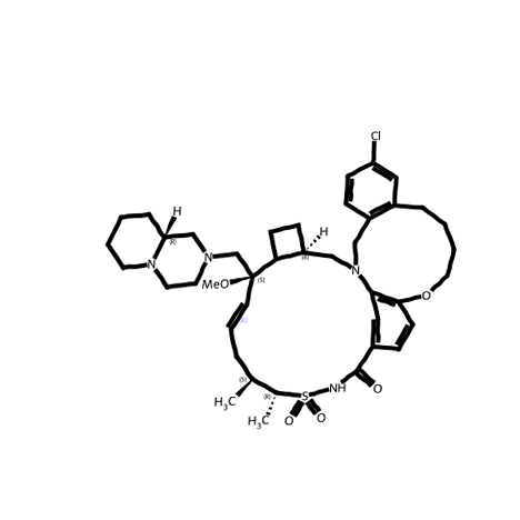 CO[C@]1(CN2CCN3CCCC[C@@H]3C2)/C=C/C[C@H](C)[C@@H](C)S(=O)(=O)NC(=O)c2ccc3c(c2)N(Cc2ccc(Cl)cc2CCCCO3)C[C@@H]2CCC21